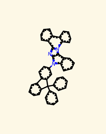 c1ccc(C2(c3ccccc3)c3ccccc3-c3ccc(-n4c5ccccc5c5c4nc4c6ccccc6c6ccccc6n45)cc32)cc1